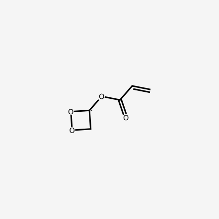 C=CC(=O)O[C]1COO1